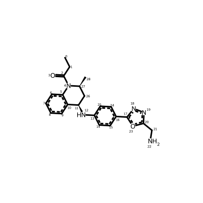 CCC(=O)N1c2ccccc2[C@H](Nc2ccc(-c3nnc(CN)o3)cc2)C[C@@H]1C